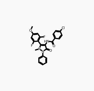 COc1cc(F)c(-c2c(NC(=O)c3ccc(Cl)cc3)c(=O)n(-c3ccccc3)n2C)c(F)c1